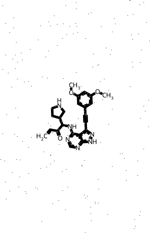 C=CC(=O)C(Nc1ncnc2[nH]nc(C#Cc3cc(OC)cc(OC)c3)c12)C1CCNC1